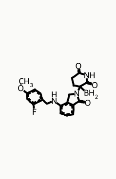 BC1(N2Cc3c(NCc4ccc(OC)cc4F)cccc3C2=O)CCC(=O)NC1=O